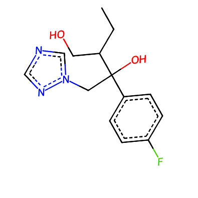 CCC(CO)C(O)(Cn1cncn1)c1ccc(F)cc1